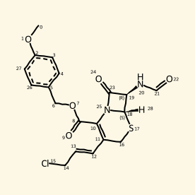 COc1ccc(COC(=O)C2=C(C=CCCl)CS[C@H]3[C@H](NC=O)C(=O)N23)cc1